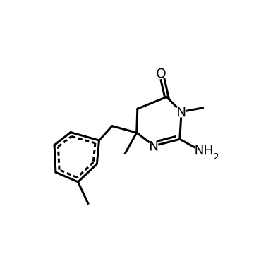 Cc1cccc(CC2(C)CC(=O)N(C)C(N)=N2)c1